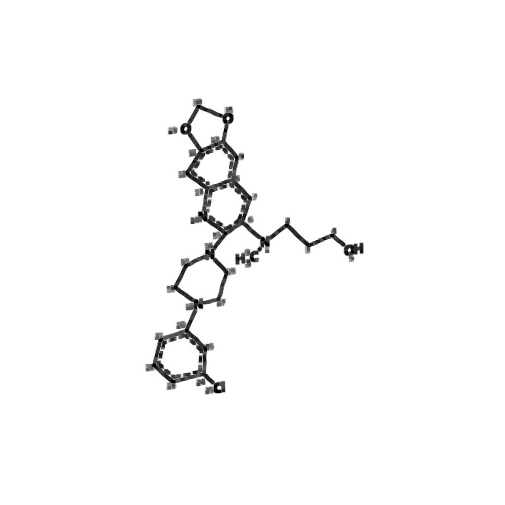 CN(CCCO)c1cc2cc3c(cc2nc1N1CCN(c2cccc(Cl)c2)CC1)OCO3